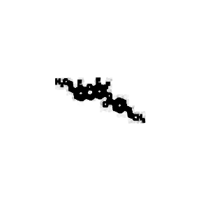 CCCc1ccc(C(=O)Oc2cc3c(c(F)c2F)Oc2c(ccc(CCC)c2F)C3)cc1